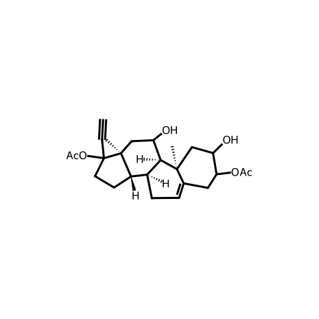 C#CC1(OC(C)=O)CC[C@H]2[C@@H]3CC=C4CC(OC(C)=O)C(O)C[C@]4(C)[C@@H]3C(O)C[C@@]21C